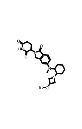 CCOC1CN(C2CCCCC2N(C)c2ccc3c(c2)CN(C2CCC(=O)NC2=O)C3=O)C1